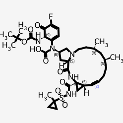 C[C@H]1CC/C=C\[C@@H]2C[C@@]2(C(=O)NS(=O)(=O)C2(C)CC2)NC(=O)[C@@H]2C[C@@H](N(C(=O)O)C3=CC=C(F)C(=O)[C@H]3NC(=O)OC(C)(C)C)CN2CC[C@H](C)C1